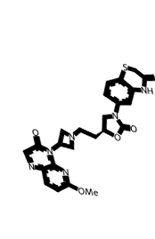 COc1ccc2ncc(=O)n(C3CN(CC[C@H]4CN(c5ccc6c(c5)NC(=O)CS6)C(=O)O4)C3)c2n1